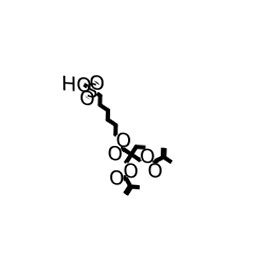 C=C(C)C(=O)OCC(CC)(COC(=O)C(=C)C)C(=O)OCCCCCCS(=O)(=O)O